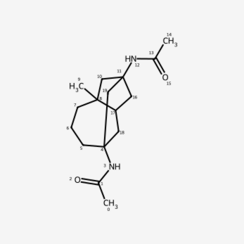 CC(=O)NC12CCCC3(C)CC(NC(C)=O)(CC3C1)C2